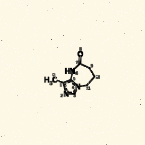 Cc1ncn2c1NC(=O)CCC2